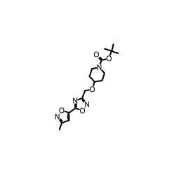 Cc1cc(-c2nc(COC3CCN(C(=O)OC(C)(C)C)CC3)no2)on1